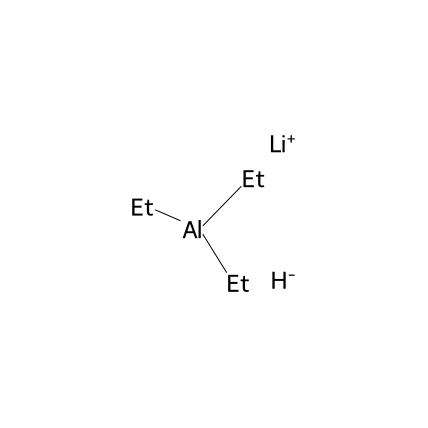 C[CH2][Al]([CH2]C)[CH2]C.[H-].[Li+]